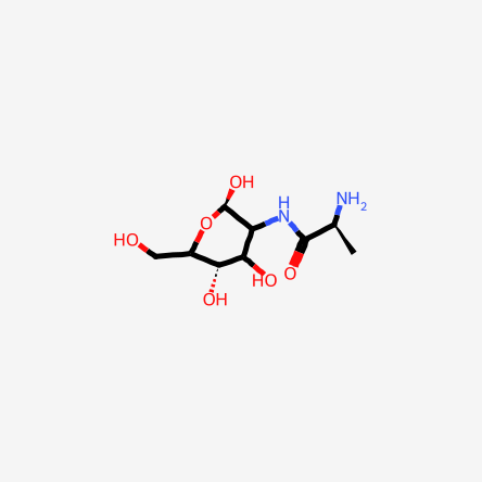 C[C@H](N)C(=O)NC1C(O)[C@H](O)C(CO)O[C@H]1O